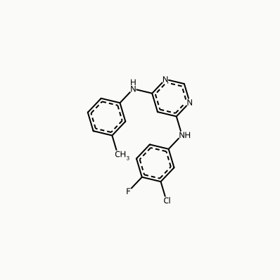 Cc1cccc(Nc2cc(Nc3ccc(F)c(Cl)c3)ncn2)c1